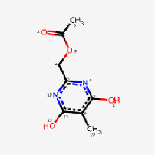 CC(=O)OCc1nc(O)c(C)c(O)n1